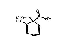 CCCC(=O)C1(COC)C=CCC=C1C